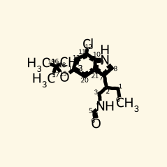 CCC(CNC=O)c1c[nH]c2c(Cl)cc(OC(C)(C)C)cc12